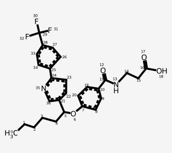 CCCCCC(Oc1ccc(C(=O)NCCC(=O)O)cc1)c1ccc(-c2ccc(C(F)(F)F)cc2)nc1